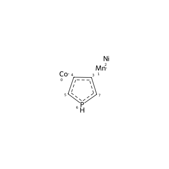 [Co].[Mn].[Ni].c1cc[pH]c1